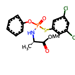 COC(=O)[C@H](C)N[P@@](=O)(Oc1ccccc1)Sc1cc(Cl)cc(Cl)c1